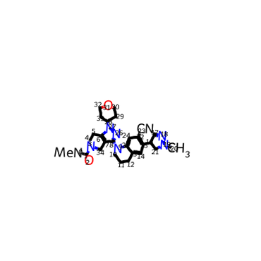 CNC(=O)N1CCc2c(c(N3CCCc4cc(C5C=NN(C)C5)c(C#N)cc43)nn2C2CCOCC2)C1